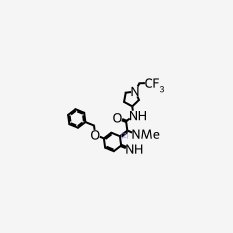 CN/C(C(=O)NC1CCN(CC(F)(F)F)C1)=C1/C=C(OCc2ccccc2)C=CC1=N